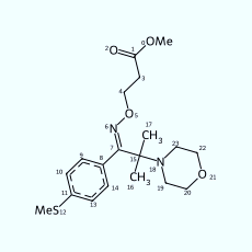 COC(=O)CCON=C(c1ccc(SC)cc1)C(C)(C)N1CCOCC1